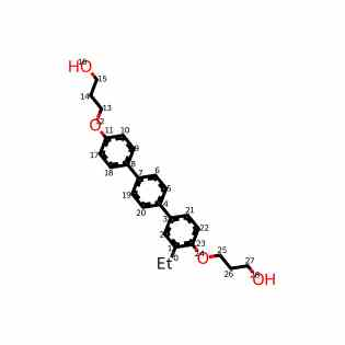 CCc1cc(-c2ccc(-c3ccc(OCCCO)cc3)cc2)ccc1OCCCO